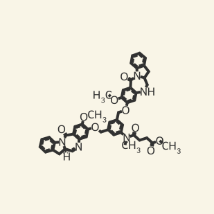 COC(=O)CCC(=O)N(C)c1cc(COc2cc3c(cc2OC)C(=O)N2c4ccccc4C[C@H]2C=N3)cc(COc2cc3c(cc2OC)C(=O)N2c4ccccc4CC2CN3)c1